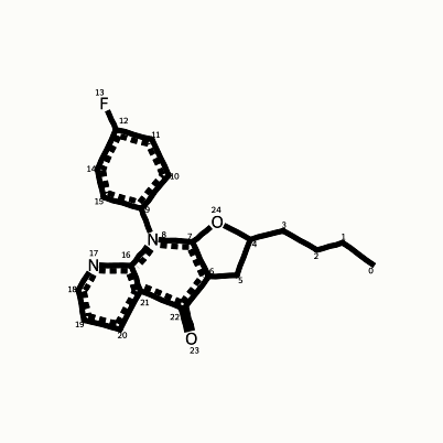 CCCCC1Cc2c(n(-c3ccc(F)cc3)c3ncccc3c2=O)O1